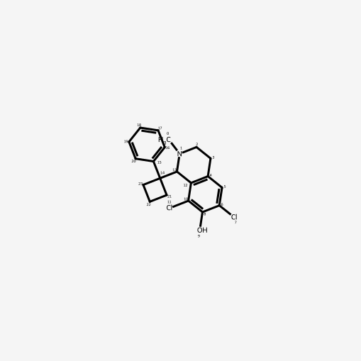 CN1CCc2cc(Cl)c(O)c(Cl)c2C1C1(c2ccccc2)CCC1